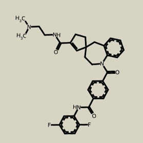 CN(C)CCNC(=O)C1=CC2(CC1)CCN(C(=O)c1ccc(C(=O)Nc3cc(F)ccc3F)cc1)c1ccccc1C2